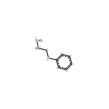 O=[C]NCOc1ccccc1